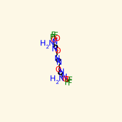 N/C(=N\OOC(F)(F)F)c1ccc(OCCCN2CCN(CCCOc3ccc(/C(N)=N/OC(=O)C(F)(F)F)cn3)CC2)nc1